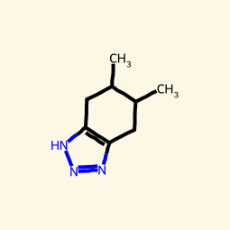 CC1Cc2nn[nH]c2CC1C